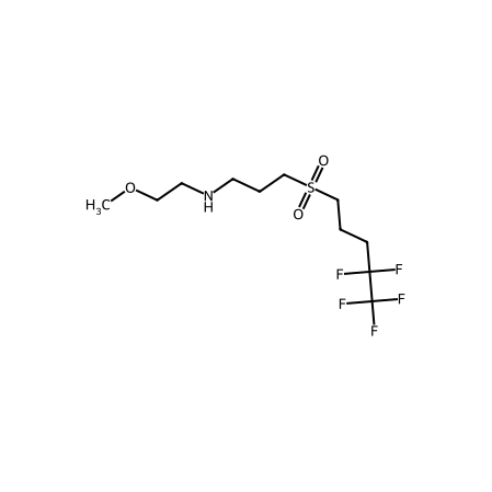 COCCNCCCS(=O)(=O)CCCC(F)(F)C(F)(F)F